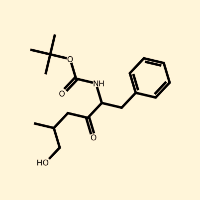 CC(CO)CC(=O)C(Cc1ccccc1)NC(=O)OC(C)(C)C